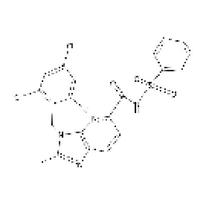 Cc1nc2ccc(C(=O)NS(=O)(=O)c3ccccc3)nc2n1Cc1c(Cl)cc(Cl)cc1Cl